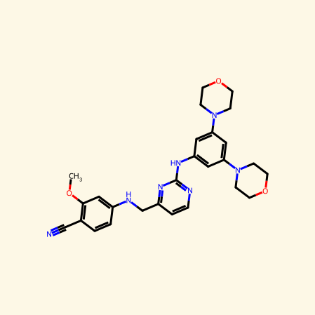 COc1cc(NCc2ccnc(Nc3cc(N4CCOCC4)cc(N4CCOCC4)c3)n2)ccc1C#N